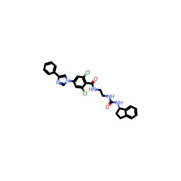 O=C(NCCNC(=O)c1c(Cl)cc(-n2cnc(-c3ccccc3)c2)cc1Cl)N[C@@H]1CCc2ccccc21